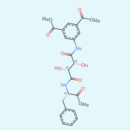 COC(=O)c1cc(NC(=O)[C@H](O)[C@@H](O)C(=O)N[C@@H](Cc2ccccc2)C(=O)OC)cc(C(=O)OC)c1